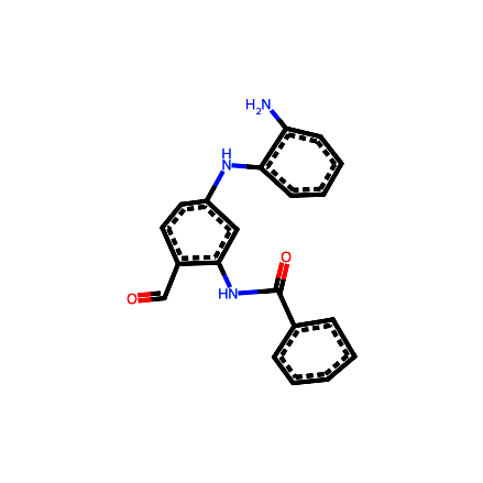 Nc1ccccc1Nc1ccc(C=O)c(NC(=O)c2ccccc2)c1